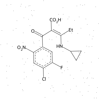 CCC(NC1CC1)=C(C(=O)O)C(=O)c1cc(F)c(Cl)cc1[N+](=O)[O-]